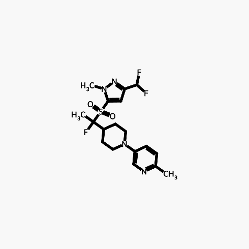 Cc1ccc(N2CCC(C(C)(F)S(=O)(=O)c3cc(C(F)F)nn3C)CC2)cn1